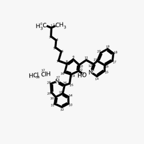 CC(C)CCCCCc1cc(Cc2nccc3ccccc23)c(O)c(Cc2nccc3ccccc23)c1.Cl.Cl